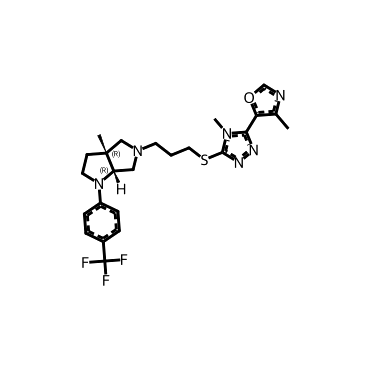 Cc1ncoc1-c1nnc(SCCCN2C[C@@H]3N(c4ccc(C(F)(F)F)cc4)CC[C@]3(C)C2)n1C